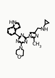 Cc1nc(CNC2CC2)cn1-c1nc(-c2cccc3[nH]ccc23)nc(N2CCOCC2)n1